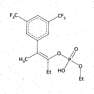 CCOP(=O)(O)O/C(CC)=C(/C)c1cc(C(F)(F)F)cc(C(F)(F)F)c1